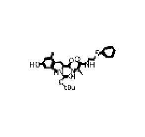 Cc1cc(O)cc(C)c1CC(NC(=O)OC(C)(C)C)C(=O)N[C@H](C)C(=O)NCCSc1ccccc1